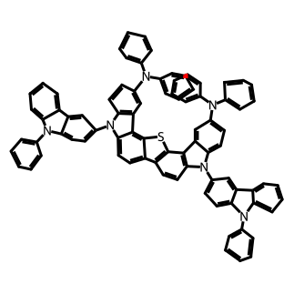 c1ccc(N(c2ccccc2)c2ccc3c(c2)c2c4sc5c(ccc6c5c5cc(N(c7ccccc7)c7ccccc7)ccc5n6-c5ccc6c(c5)c5ccccc5n6-c5ccccc5)c4ccc2n3-c2ccc3c(c2)c2ccccc2n3-c2ccccc2)cc1